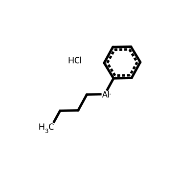 CCC[CH2][Al][c]1ccccc1.Cl